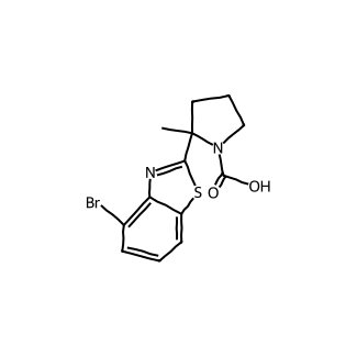 CC1(c2nc3c(Br)cccc3s2)CCCN1C(=O)O